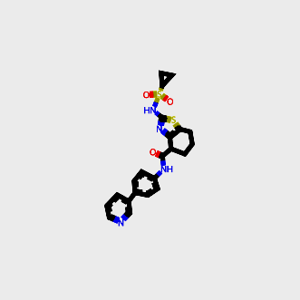 O=C(Nc1ccc(-c2cccnc2)cc1)C1CCCc2sc(NS(=O)(=O)C3CC3)nc21